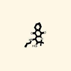 C=CCNC1C2=C(OC(C)(C)C1O)C(=O)c1ccccc1C2=O